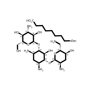 CCCCCCCCCCCCCCCCCC(=O)O.NC[C@H]1O[C@H](O[C@H]2[C@H](O)[C@@H](O[C@H]3O[C@H](CO)[C@@H](O)[C@H](N)[C@H]3O)[C@H](N)C[C@@H]2N)[C@H](N)C[C@@H]1O